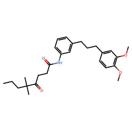 CCCC(C)(C)C(=O)CCC(=O)Nc1cccc(CCCc2ccc(OC)c(OC)c2)c1